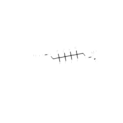 O=[SH](=O)OCC(F)(F)C(F)(F)C(F)(F)C(F)(F)COS(=O)(=O)O